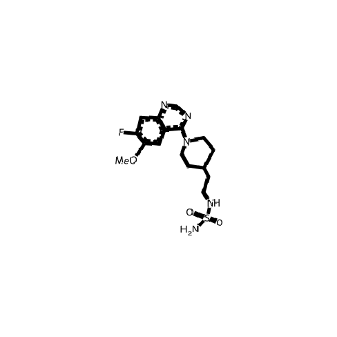 COc1cc2c(N3CCC(CCNS(N)(=O)=O)CC3)ncnc2cc1F